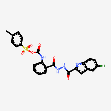 Cc1ccc(S(=O)(=O)OC(=O)Nc2ccccc2C(=O)NNC(=O)c2cc3cc(Cl)ccc3[nH]2)cc1